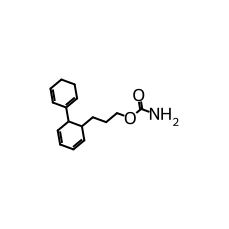 NC(=O)OCCCC1C=CC=CC1C1=CCCC=C1